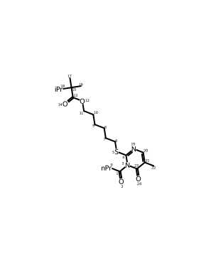 CCCC(=O)n1c(SCCCCCCOC(=O)C(C)(C)C(C)C)ncc(C)c1=O